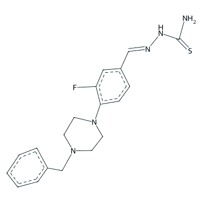 NC(=S)N/N=C/c1ccc(N2CCN(Cc3ccccc3)CC2)c(F)c1